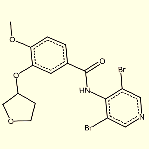 COc1ccc(C(=O)Nc2c(Br)cncc2Br)cc1OC1CCOC1